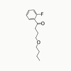 CCCCOCCCC(=O)c1ccccc1F